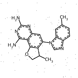 Cc1ccc2ncn(-c3cc4nc(N)nc(N)c4c4c3C(C)CO4)c2c1